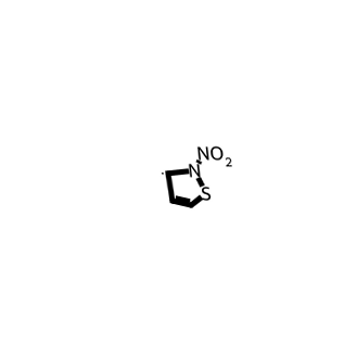 O=[N+]([O-])N1[CH]C=CS1